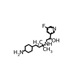 CC(C)(CCC1CCC(N)CC1)NC[C@H](O)c1cncc(F)c1